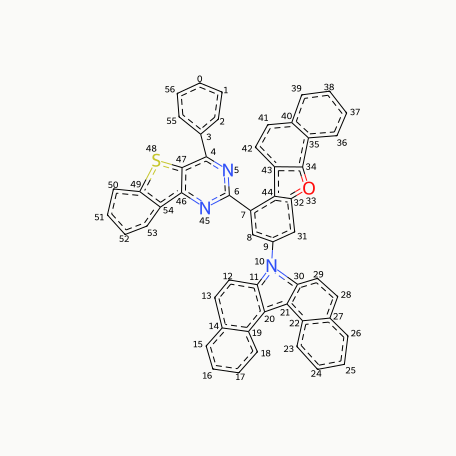 c1ccc(-c2nc(-c3cc(-n4c5ccc6ccccc6c5c5c6ccccc6ccc54)cc4oc5c6ccccc6ccc5c34)nc3c2sc2ccccc23)cc1